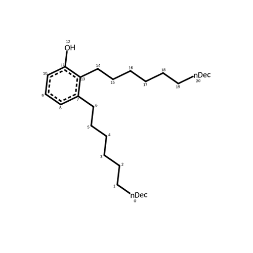 CCCCCCCCCCCCCCCCc1cccc(O)c1CCCCCCCCCCCCCCCC